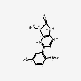 COc1ccc(C(C)C)cc1-c1cnc2[nH]c(=O)n(C(C)C)c2n1